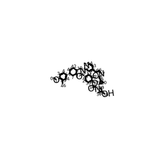 COc1ccc([C@H]2CC[C@H](CN(c3cc(-c4cnc(C5CC5)o4)ccn3)C(=O)[C@H]3CC[C@H](OC(=O)N4CC(O)C4)CC3)CC2)cc1C